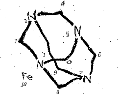 C1N2CN3CN1CN(C2)C3.[Fe]